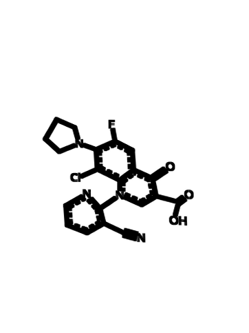 N#Cc1cccnc1-n1cc(C(=O)O)c(=O)c2cc(F)c(N3CCCC3)c(Cl)c21